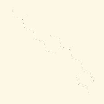 O=C(CCCC1CCN(C(=O)NCc2ccc(Cl)cc2)CC1)NO